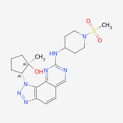 C[C@@]1(O)CCC[C@H]1n1nnc2ccc3cnc(NC4CCN(S(C)(=O)=O)CC4)nc3c21